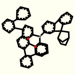 c1ccc(-c2ccccc2-c2ccc(N(c3ccc4c(c3)C3(CC5CCC3C5)c3ccccc3-4)c3ccccc3-c3ccccc3-c3ccccc3-c3ccccc3)cc2)cc1